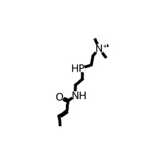 CC=CC(=O)NCCPCC[N+](C)(C)C